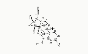 CCC1C[C@@H]2[C@H](CC[C@@]3(C)[C@H]2[C@@H]2C[C@@H]2[C@@H]3C#N)[C@H]2CCC(=O)C=C12